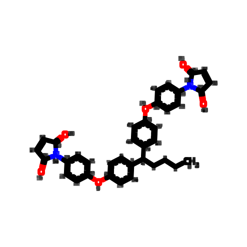 CCCCC(c1ccc(Oc2ccc(N3C(=O)C=CC3=O)cc2)cc1)c1ccc(Oc2ccc(N3C(=O)C=CC3=O)cc2)cc1